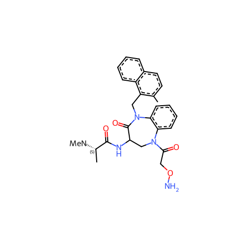 CN[C@@H](C)C(=O)NC1CN(C(=O)CON)c2ccccc2N(Cc2c(C)ccc3ccccc23)C1=O